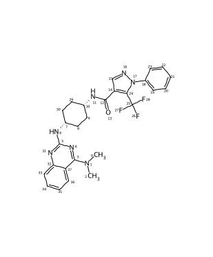 CN(C)c1nc(N[C@H]2CC[C@@H](NC(=O)c3cnn(-c4ccccc4)c3C(F)(F)F)CC2)nc2ccccc12